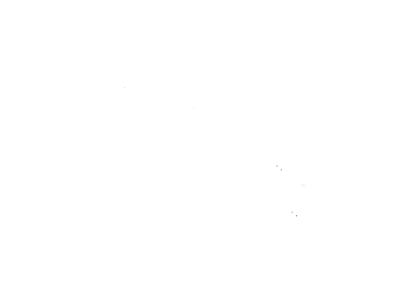 CCc1nnn(C(C)(C)C)c1CCC1(C)[C@H](CC(C)(C)C)C1(C)S